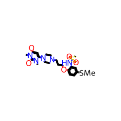 CSc1ccc(OCCCN2CCN(c3cc(=O)n(C)c(=O)n3C)CC2)c(NS(C)(=O)=O)c1